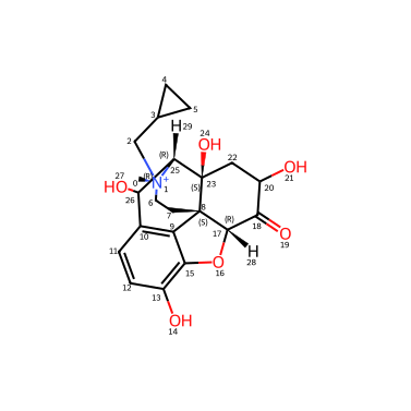 C[N@+]1(CC2CC2)CC[C@]23c4c5ccc(O)c4O[C@H]2C(=O)C(O)C[C@@]3(O)[C@H]1C5O